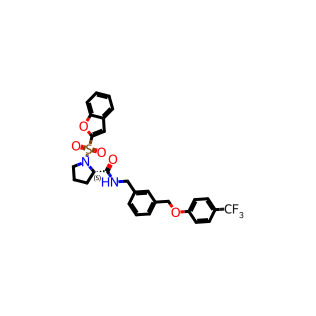 O=C(NCc1cccc(COc2ccc(C(F)(F)F)cc2)c1)[C@@H]1CCCN1S(=O)(=O)c1cc2ccccc2o1